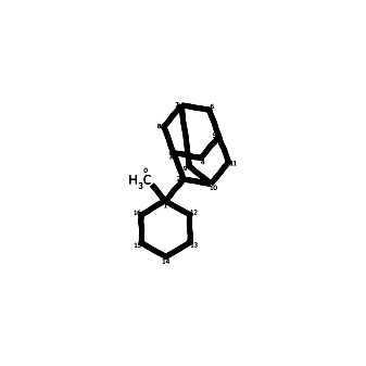 CC1(C2[C]3CC4CC(C3)CC2C4)CCCCC1